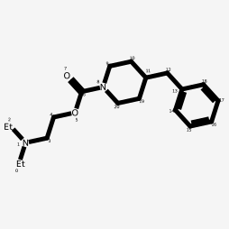 CCN(CC)CCOC(=O)N1CCC(Cc2ccccc2)CC1